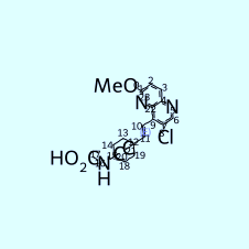 COc1ccc2ncc(Cl)c(/C=C/C34CCC(NC(=O)O)(CC3)CC4)c2n1